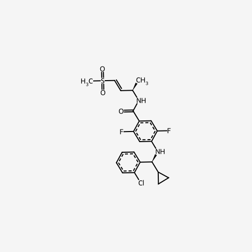 C[C@H](/C=C/S(C)(=O)=O)NC(=O)c1cc(F)c(N[C@H](c2ccccc2Cl)C2CC2)cc1F